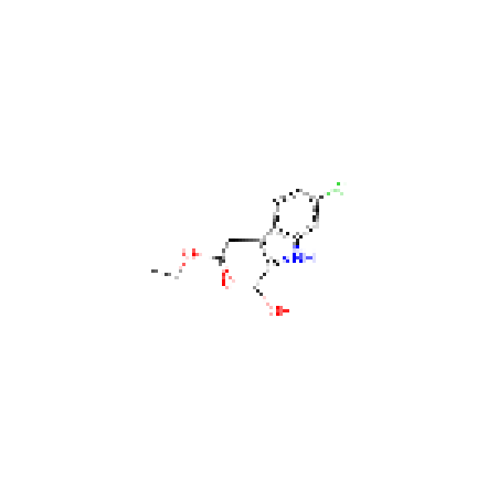 CCOC(=O)Cc1c(CO)[nH]c2cc(Cl)ccc12